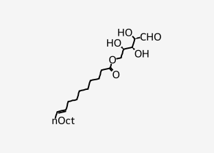 CCCCCCCCC=CCCCCCCCC(=O)OC[C@@H](O)[C@H](O)[C@@H](O)C=O